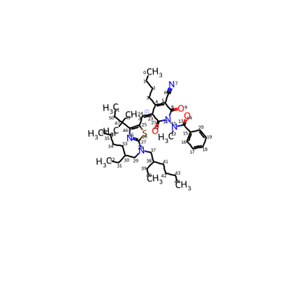 CCCCC1=C(C#N)C(=O)N(N(C)C(=O)c2ccccc2)C(=O)/C1=C\c1sc(N(CC(CC)CCCC)CC(CC)CCCC)nc1C(C)(C)CC